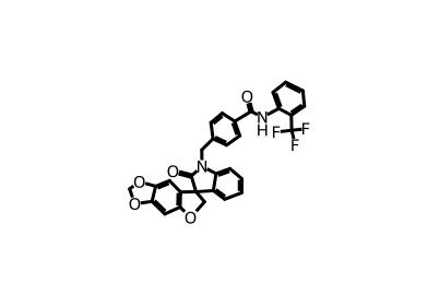 O=C(Nc1ccccc1C(F)(F)F)c1ccc(CN2C(=O)C3(COc4cc5c(cc43)OCO5)c3ccccc32)cc1